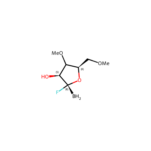 B[C@]1(F)O[C@H](COC)C(OC)[C@@H]1O